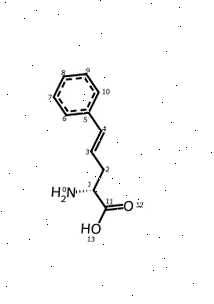 N[C@H](CC=Cc1ccccc1)C(=O)O